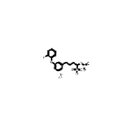 O=[PH]([O-])OC(CCCc1cccc(Oc2ccccc2F)c1)S(=O)(=O)[O-].[K+].[K+]